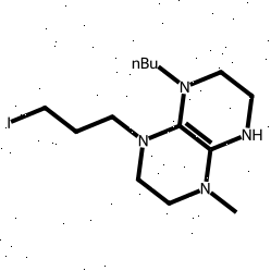 CCCCN1CCNC2=C1N(CCCI)CCN2C